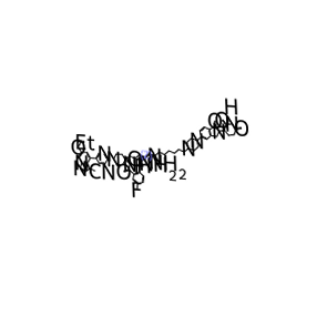 CCOc1cc(-c2ccc(N3CCC(COC/C(N)=C/N(N)CCCCCCN4CCN(c5ccc6c(c5)CN(C5CCC(=O)NC5=O)C6=O)CC4)(NC(=O)c4cc(F)ccc4F)CC3)nc2)c2c(C#N)cnn2c1